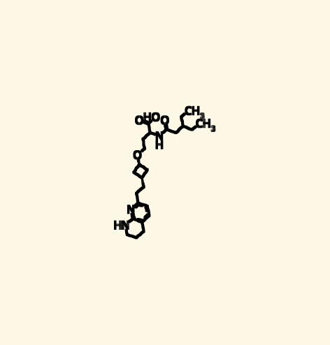 CCC(CC)CC(=O)NC(CCO[C@H]1C[C@@H](CCc2ccc3c(n2)NCCC3)C1)C(=O)O